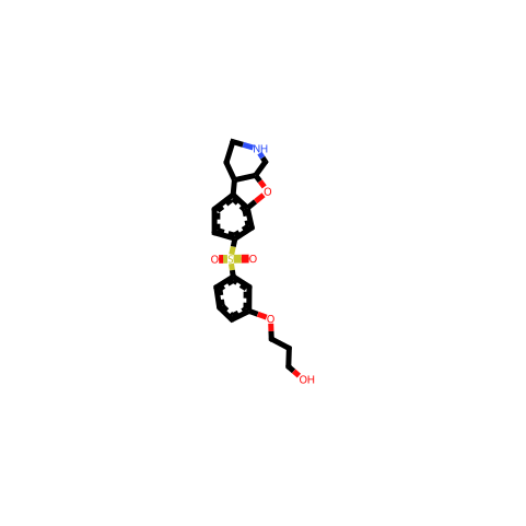 O=S(=O)(c1cccc(OCCCO)c1)c1ccc2c(c1)OC1CNCCC21